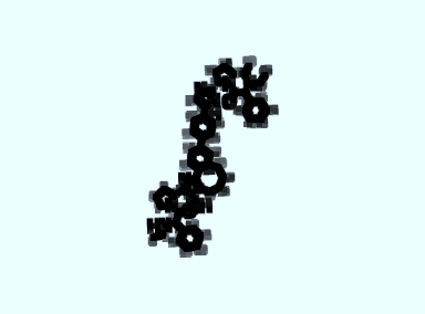 CCN[C@@H](C(=O)N1CCC[C@H]1c1nc2c(n1O)CCCCc1cc(-c3ccc(-c4cnc([C@@H]5CCCN5C(=O)[C@@H](c5ccccc5)N(CC)CC)[nH]4)cc3)ccc1-2)c1ccccc1